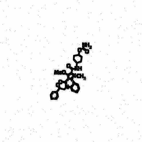 COc1c(C(=O)NC2CCC(OC(N)=O)CC2)n(C)c2c1c(=O)n(CC(=O)c1ccccc1)c1ccccc21